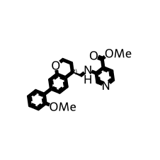 COC(=O)c1ccncc1NC[C@@H]1CCOc2cc(-c3ccccc3OC)ccc21